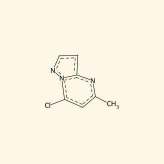 Cc1cc(Cl)n2nccc2n1